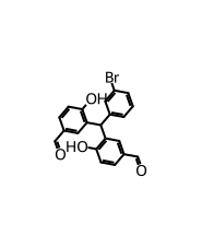 O=Cc1ccc(O)c(C(c2cccc(Br)c2)c2cc(C=O)ccc2O)c1